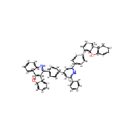 C1=Cc2oc3c(-c4ccc(-c5cc(-c6ccc(-c7nc8ccccc8c8oc9ccccc9c78)cc6)cc(-c6ccccc6)n5)cc4)cccc3c2CC1